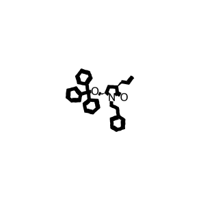 C=CC[C@@H]1C[C@@H](COC(c2ccccc2)(c2ccccc2)c2ccccc2)N(CCc2ccccc2)C1=O